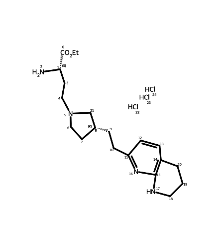 CCOC(=O)[C@@H](N)CCN1CC[C@@H](CCc2ccc3c(n2)NCCC3)C1.Cl.Cl.Cl